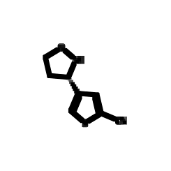 N#Cc1cc([C@@H]2CCON2)cs1